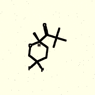 CC(C)(C)C(=O)[C@]1(C)CCC(F)(F)CO1